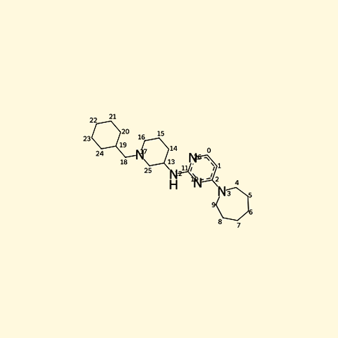 c1cc(N2CCCCCC2)nc(NC2CCCN(CC3CCCCC3)C2)n1